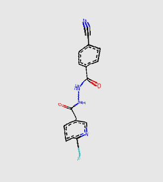 N#Cc1ccc(C(=O)NNC(=O)c2ccc(F)nc2)cc1